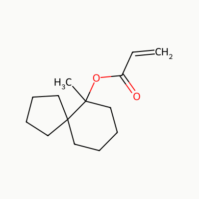 C=CC(=O)OC1(C)CCCCC12CCCC2